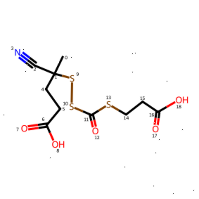 CC(C#N)(CCC(=O)O)SSC(=O)SCCC(=O)O